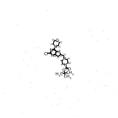 CC(C)(C)OC(=O)N1CCN(CC2Cc3nc(Cl)nc(N4CCOCC4)c3S2)CC1